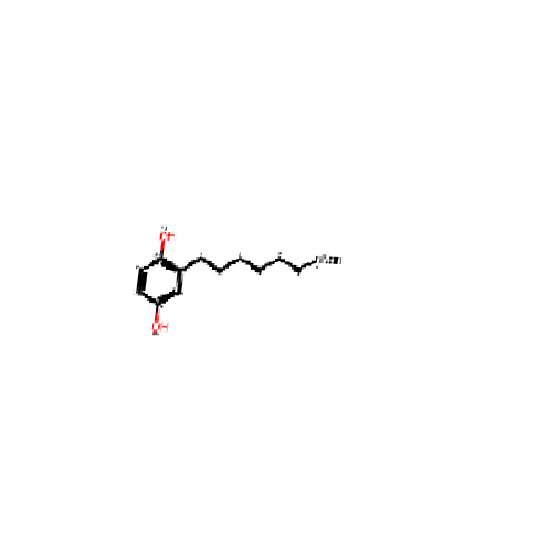 CCCCCCCCCCCCCCCc1cc(O)[c]cc1O